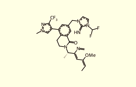 C=N/C(=C\C(=C/C)OC)[C@H](C)N1CCc2c(cc(Cn3ccn(C(F)F)c3=N)cc2-c2cn(C)nc2C(F)(F)F)C1=O